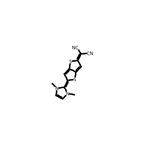 CN1C=CN(C)C1=c1cc2sc(=C(C#N)C#N)cc2s1